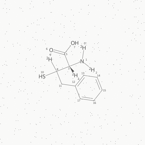 [2H]N([2H])[C@@]([2H])(C(=O)O)C([2H])(S)Cc1ccccc1